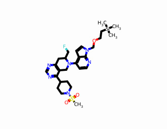 C[Si](C)(C)CCOCn1ccc2c(N3Cc4c(ncnc4C4CCN(S(C)(=O)=O)CC4)CC3CF)ccnc21